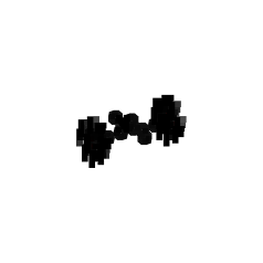 Fc1c(F)c(F)c(B(c2ccc(-c3ccc4c(c3)N(c3ccccc3)c3cccc5c3c-4cc3c4ccccc4c(-c4ccc(B(c6c(F)c(F)c(F)c(F)c6F)c6c(F)c(F)c(F)c(F)c6F)cc4)cc53)cc2)c2c(F)c(F)c(F)c(F)c2F)c(F)c1F